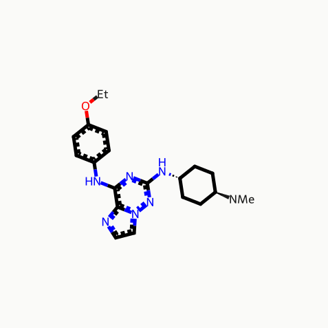 CCOc1ccc(Nc2nc(N[C@H]3CC[C@H](NC)CC3)nn3ccnc23)cc1